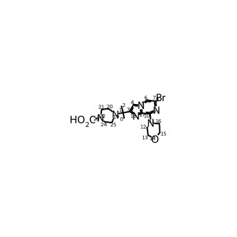 CC(C)(c1cn2cc(Br)nc(N3CCOCC3)c2n1)N1CCN(C(=O)O)CC1